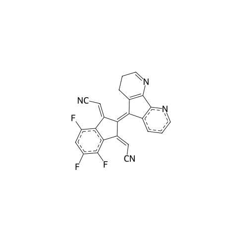 N#C/C=C1C(=C2\C3=C(N=CCC3)c3ncccc32)/C(=C/C#N)c2c(F)c(F)cc(F)c2/1